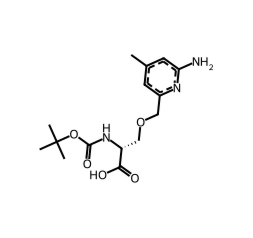 Cc1cc(N)nc(COC[C@@H](NC(=O)OC(C)(C)C)C(=O)O)c1